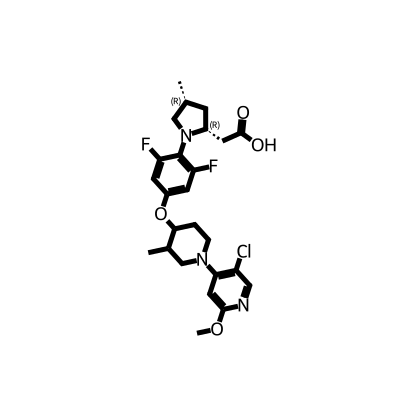 COc1cc(N2CCC(Oc3cc(F)c(N4C[C@H](C)C[C@@H]4CC(=O)O)c(F)c3)C(C)C2)c(Cl)cn1